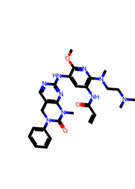 C=CC(=O)Nc1cc(Nc2ncc3c(n2)N(C)C(=O)N(c2ccccc2)C3)c(OC)nc1N(C)CCN(C)C